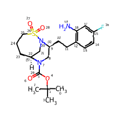 CC(C)(C)OC(=O)N1C[C@H](CCc2ccc(F)cc2N)N2C[C@@H]1CCCS2(=O)=O